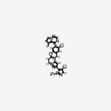 Cc1ccn2ncnc(-c3ccc(CN4C(=O)CCn5nc(-c6c(Cl)cnn6C(C)C)cc54)cc3Cl)c12